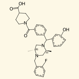 C[C@@H]1CN(C(c2cccc(O)c2)c2cccc(C(=O)N3CCC(C(=O)O)CC3)c2)[C@@H](C)CN1Cc1ccccc1F